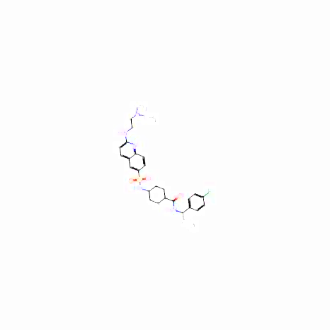 C[C@@H](NC(=O)C1CCC(NS(=O)(=O)c2ccc3nc(NCCN(C)C)ccc3c2)CC1)c1ccc(F)cc1